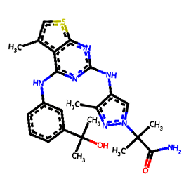 Cc1nn(C(C)(C)C(N)=O)cc1Nc1nc(Nc2cccc(C(C)(C)O)c2)c2c(C)csc2n1